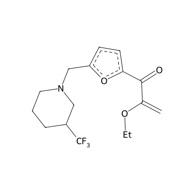 C=C(OCC)C(=O)c1ccc(CN2CCCC(C(F)(F)F)C2)o1